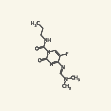 CCCNC(=O)n1cc(F)c(N=CN(C)C)nc1=O